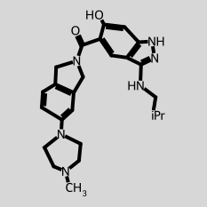 CC(C)CNc1n[nH]c2cc(O)c(C(=O)N3Cc4ccc(N5CCN(C)CC5)cc4C3)cc12